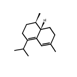 CC1=CC2=C(C(C)C)CC[C@@H](C)[C@@H]2CC1